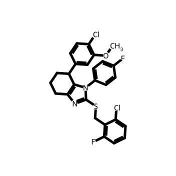 COc1cc(C2CCCc3nc(SCc4c(F)cccc4Cl)n(-c4ccc(F)cc4)c32)ccc1Cl